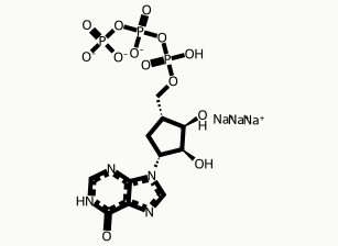 O=c1[nH]cnc2c1ncn2[C@@H]1C[C@H](COP(=O)(O)OP(=O)([O-])OP(=O)([O-])[O-])[C@@H](O)[C@H]1O.[Na+].[Na+].[Na+]